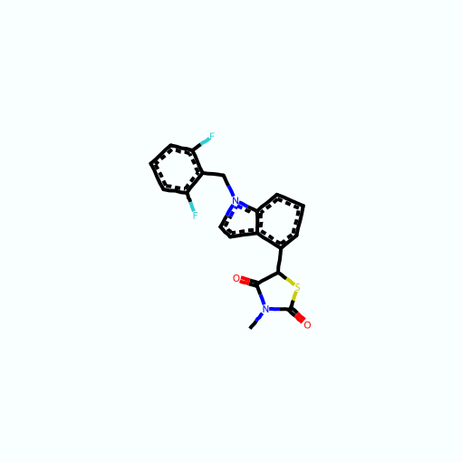 CN1C(=O)SC(c2cccc3c2ccn3Cc2c(F)cccc2F)C1=O